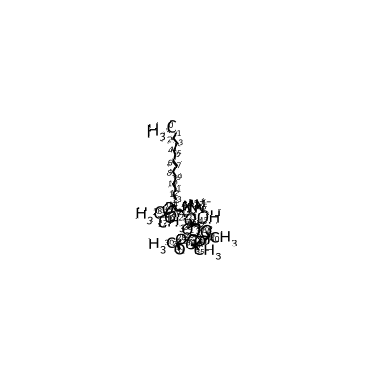 CCCCCCCCCCCCCC[C@H]1OC(C)(C)O[C@H]1[C@H](COC1OC(COC(C)=O)[C@H](OC(C)=O)[C@H](OC(C)=O)C1O)N=[N+]=[N-]